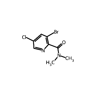 CN(C)C(=O)c1ncc(Cl)cc1Br